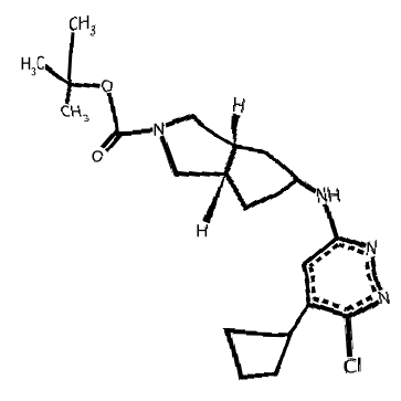 CC(C)(C)OC(=O)N1C[C@H]2CC(Nc3cc(C4CCC4)c(Cl)nn3)C[C@H]2C1